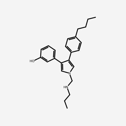 CCCCc1ccc(-c2cn(CNCCC)cc2-c2cccc(O)c2)cc1